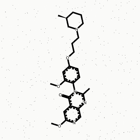 COc1cc2c(=O)n(-c3ccc(OCCCN4CCC[C@H](C)C4)cc3OC)c(C)nc2cn1